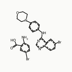 Brc1ccc2ncnc(Nc3ccc(N4CCOCC4)cc3)c2c1.Nc1ccc(Br)cc1C(=O)O